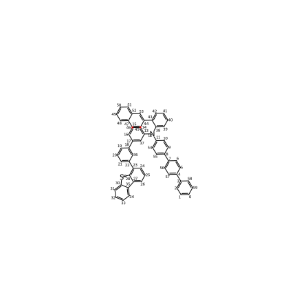 c1ccc(-c2ccc(-c3ccc(N(c4cccc(-c5cccc(-c6cccc7c6sc6ccccc67)c5)c4)c4ccccc4-c4ccc5ccccc5c4)cc3)cc2)cc1